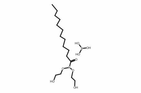 CCCCCCCCCCCC(=O)N(OCCO)OCCO.OB(O)O